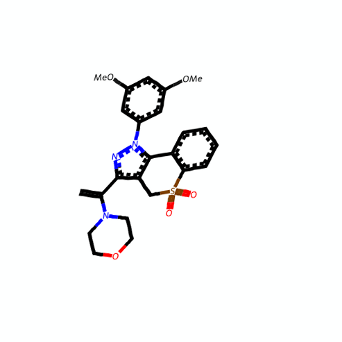 C=C(c1nn(-c2cc(OC)cc(OC)c2)c2c1CS(=O)(=O)c1ccccc1-2)N1CCOCC1